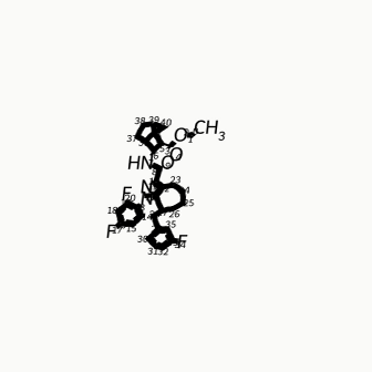 CCOC(=O)[C@H]1[C@@H](NC(=O)c2nn(-c3ccc(F)cc3F)c3c2CCCCC3Cc2cccc(F)c2)C2CCC3CC321